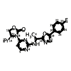 CC(Nc1nccc(N2C(=O)OC[C@@H]2C(C)C)n1)c1nnc(-c2ccc(F)cc2)o1